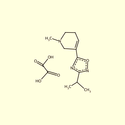 CC(C)c1noc(C2=CCCN(C)C2)n1.O=C(O)C(=O)O